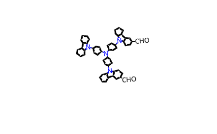 O=Cc1ccc2c(c1)c1ccccc1n2-c1ccc(N(c2ccc(-n3c4ccccc4c4ccccc43)cc2)c2ccc(-n3c4ccccc4c4cc(C=O)ccc43)cc2)cc1